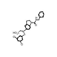 O=C(O)CN(Sc1cc(Cl)cc(Cl)c1)c1ccc2c(c1)CCN2C(=O)NCc1ccccc1